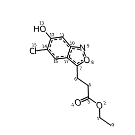 CCOC(=O)CCc1onc2cc(O)c(Cl)cc12